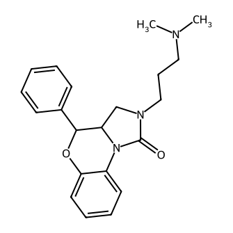 CN(C)CCCN1CC2C(c3ccccc3)Oc3ccccc3N2C1=O